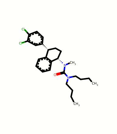 CCCCN(CCCC)C(=O)N(C)[C@H]1CC[C@@H](c2ccc(Cl)c(Cl)c2)c2ccccc21